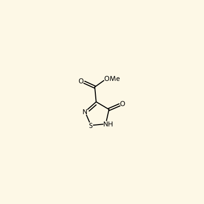 COC(=O)c1ns[nH]c1=O